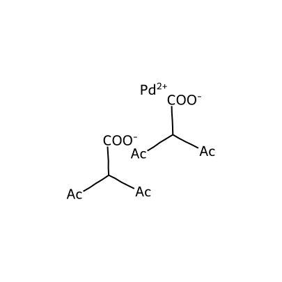 CC(=O)C(C(C)=O)C(=O)[O-].CC(=O)C(C(C)=O)C(=O)[O-].[Pd+2]